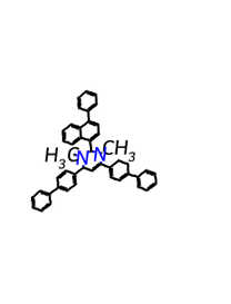 CN1C(C2=CC=C(c3ccccc3)CC2)=CC(c2ccc(-c3ccccc3)cc2)N(C)C1c1ccc(-c2ccccc2)c2ccccc12